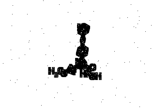 COC1CN(c2cc(C(=O)NO)cc(-c3ccc(C#Cc4cccnc4)cc3)n2)C1